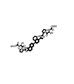 COC(=O)N[C@H](C(=O)N1CCCC1c1ncc(-c2ccc(-c3ccc4c(ccc5nc(C6CCCN6C(=O)[C@@H](NC(=O)OC)C(C)C)[nH]c54)c3)c3c2CCCC3)[nH]1)C(C)C